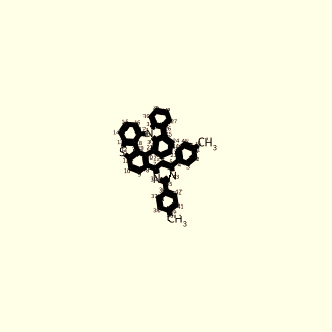 Cc1ccc(-c2cc(-c3ccc4sc5cccc6c5c4c3c3cccc4c5ccccc5n6c43)nc(-c3ccc(C)cc3)n2)cc1